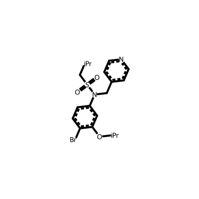 CC(C)CS(=O)(=O)N(Cc1ccncc1)c1ccc(Br)c(OC(C)C)c1